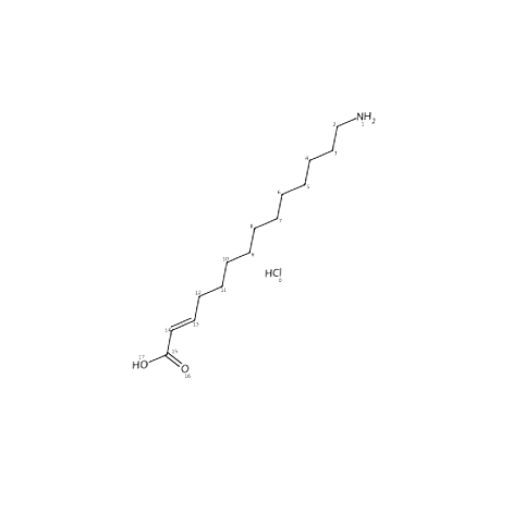 Cl.NCCCCCCCCCCCC=CC(=O)O